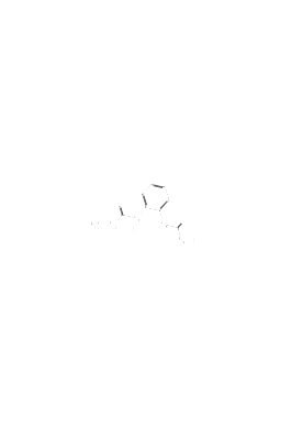 CNC(=O)Nc1ccccc1NC(N)=O